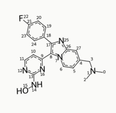 CN(C)Cc1ccn2c(-c3ccnc(NO)n3)c(-c3ccc(F)cc3)nc2c1